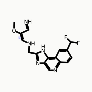 CO/C(C=N)=C/NCc1nc2cnc3ccc(C(F)F)cc3c2[nH]1